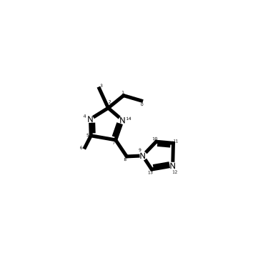 CCC1(C)N=C(C)C(Cn2ccnc2)=N1